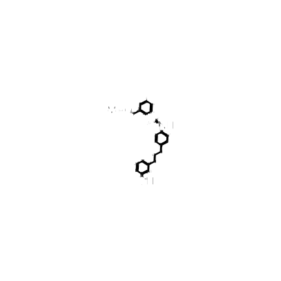 COCc1cccc(OC(=O)Nc2ccc(CCCc3cccc(O)c3)cc2)c1